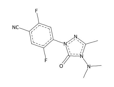 Cc1nn(-c2cc(F)c(C#N)cc2F)c(=O)n1N(C)C